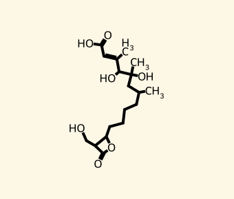 C/C(=C\C(=O)O)C(O)C(C)(O)CC(C)CCCCC1OC(=O)C1CO